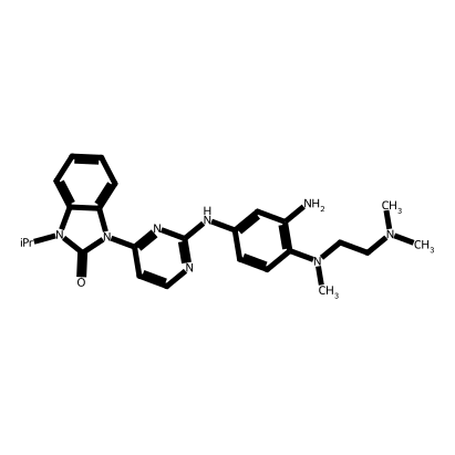 CC(C)n1c(=O)n(-c2ccnc(Nc3ccc(N(C)CCN(C)C)c(N)c3)n2)c2ccccc21